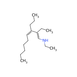 CCCCCC=C(CCC)C(=CNCC)CC